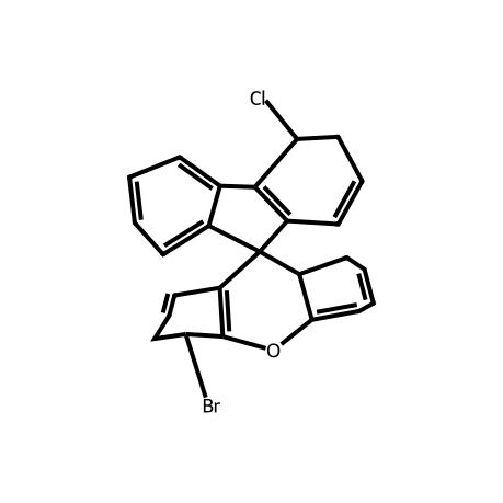 ClC1CC=CC2=C1c1ccccc1C21C2=C(OC3=CC=CCC31)C(Br)CC=C2